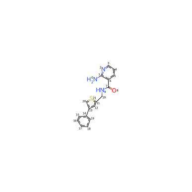 Nc1ncccc1C(=O)NCc1cc(-c2ccccc2)cs1